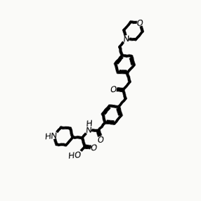 O=C(Cc1ccc(CN2CCOCC2)cc1)Cc1ccc(C(=O)NC(C(=O)O)C2CCNCC2)cc1